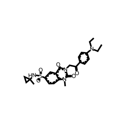 CCN(CC)c1ccc(C(=O)Cn2c(=O)c3cc(S(=O)(=O)NC4(C)CC4)ccc3n(C)c2=O)cc1